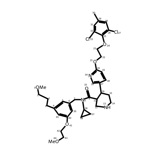 COCCCc1cc(CN(C(=O)C2CNCCC2c2ccc(OCCOc3c(Cl)cc(C)cc3Cl)nc2)C2CC2)cc(OCCOC)c1